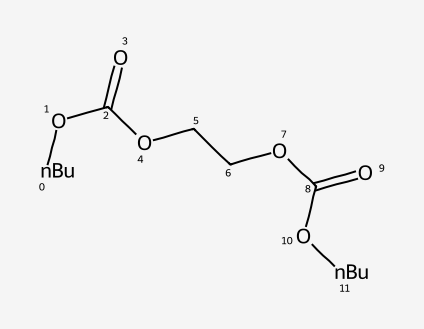 CCCCOC(=O)OCCOC(=O)OCCCC